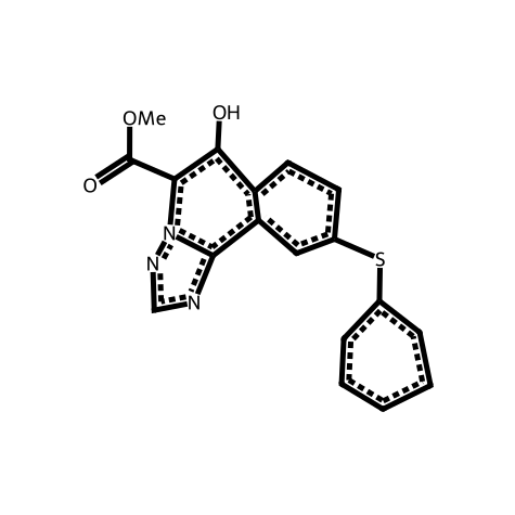 COC(=O)c1c(O)c2ccc(Sc3ccccc3)cc2c2ncnn12